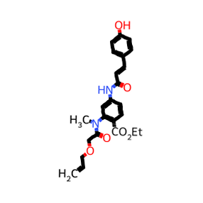 C=CCOCC(=O)N(C)c1cc(NC(=O)C=Cc2ccc(O)cc2)ccc1C(=O)OCC